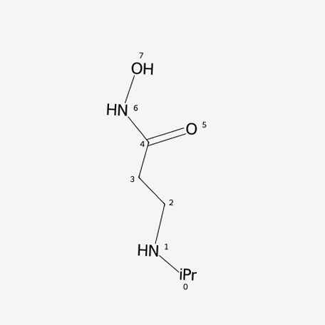 CC(C)NCCC(=O)NO